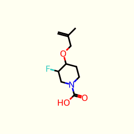 C=C(C)COC1CCN(C(=O)O)CC1F